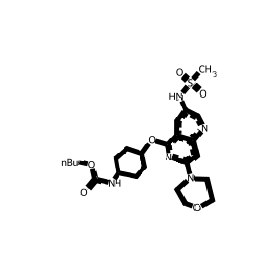 CCCCOC(=O)NC1CCC(Oc2nc(N3CCOCC3)cc3ncc(NS(C)(=O)=O)cc23)CC1